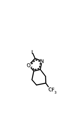 FC(F)(F)C1CCc2oc(I)nc2C1